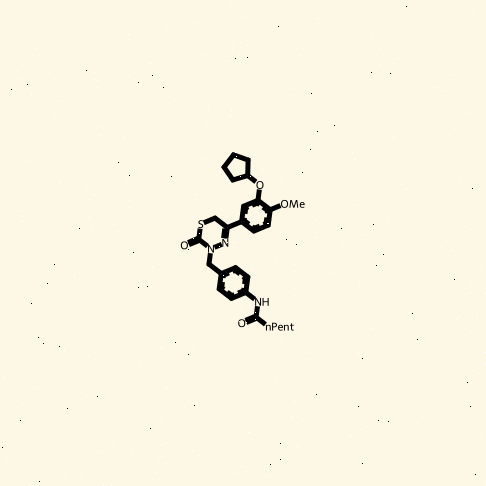 CCCCCC(=O)Nc1ccc(CN2N=C(c3ccc(OC)c(OC4CCCC4)c3)CSC2=O)cc1